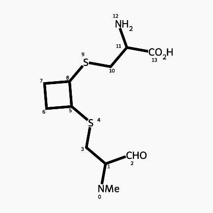 CNC(C=O)CSC1CCC1SCC(N)C(=O)O